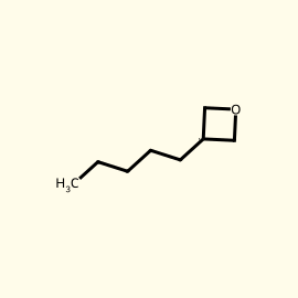 CCCCC[C]1COC1